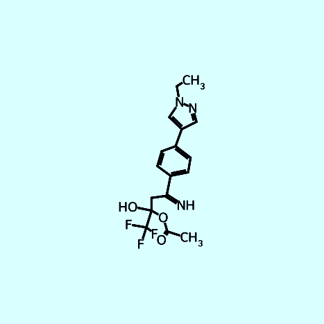 CCn1cc(-c2ccc(C(=N)CC(O)(OC(C)=O)C(F)(F)F)cc2)cn1